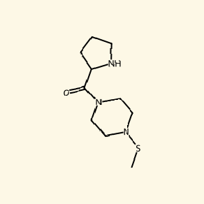 CSN1CCN(C(=O)C2CCCN2)CC1